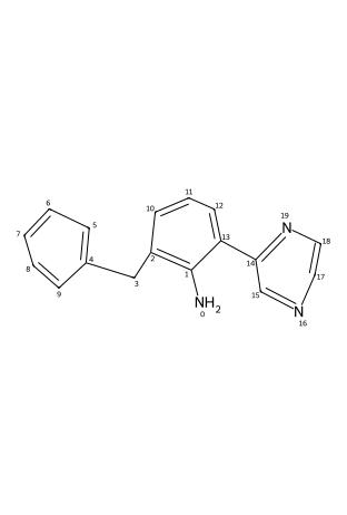 Nc1c(Cc2ccccc2)cccc1-c1cnccn1